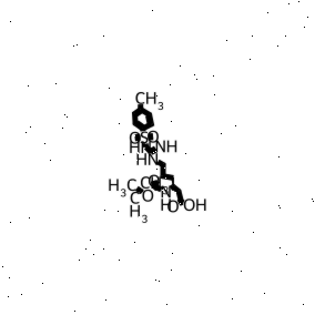 Cc1ccc(S(=O)(=O)NC(=N)NCCC[C@@H](CC(=O)O)NC(=O)OC(C)(C)C)cc1